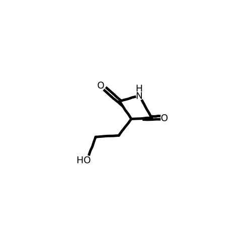 O=C1NC(=O)C1CCO